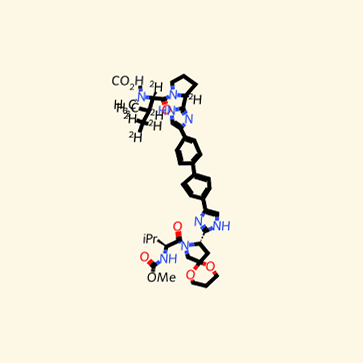 [2H]C([2H])([2H])C([2H])(C)[C@@]([2H])(C(=O)N1CCC[C@@]1([2H])c1nc(-c2ccc(-c3ccc(-c4c[nH]c([C@@H]5CC6(CN5C(=O)[C@@H](NC(=O)OC)C(C)C)OCCCO6)n4)cc3)cc2)c[nH]1)N(C)C(=O)O